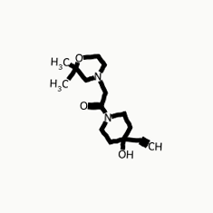 C#CC1(O)CCN(C(=O)CN2CCOC(C)(C)C2)CC1